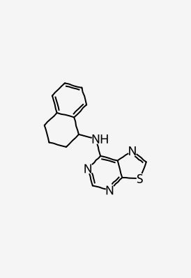 c1ccc2c(c1)CCCC2Nc1ncnc2scnc12